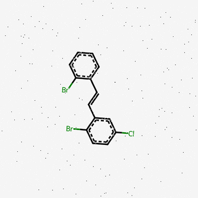 Clc1ccc(Br)c(C=Cc2ccccc2Br)c1